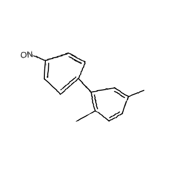 Cc1ccc(C)c(-c2ccc(N=O)cc2)c1